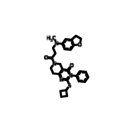 CN(CCC(=O)N1CCc2nc(SC3CCC3)n(-c3ccccc3)c(=O)c2C1)c1ccc2c(c1)CCO2